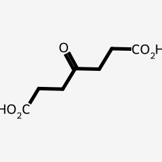 O=C(O)CCC(=O)CCC(=O)O